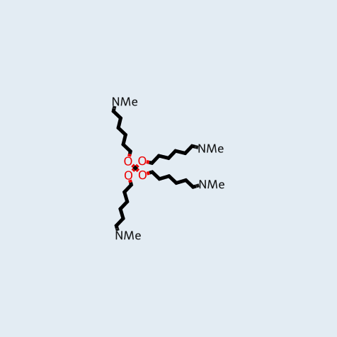 CNCCCCCCOC(OCCCCCCNC)(OCCCCCCNC)OCCCCCCNC